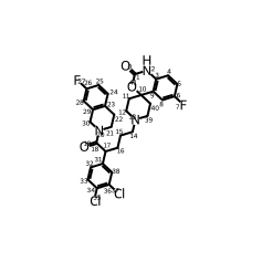 O=C1Nc2ccc(F)cc2C2(CCN(CCCC(C(=O)N3CCc4ccc(F)cc4C3)c3ccc(Cl)c(Cl)c3)CC2)O1